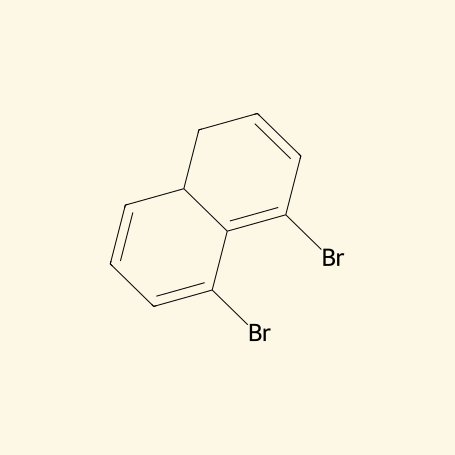 BrC1=CC=CC2CC=CC(Br)=C12